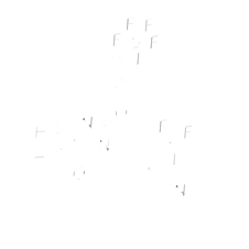 CC1(C)C(=O)N(c2ccc(C#N)c(C(F)(F)F)c2)C(=O)N1Cc1ccc(S(F)(F)(F)(F)F)cc1